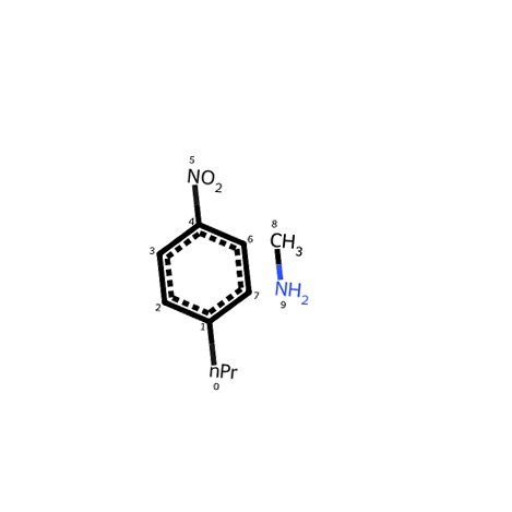 CCCc1ccc([N+](=O)[O-])cc1.CN